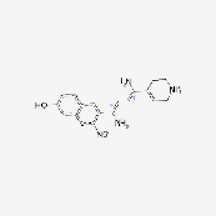 N/C(=C\C=C(/N)c1cc2ccc(O)cc2cc1N=O)C1=CCNCC1